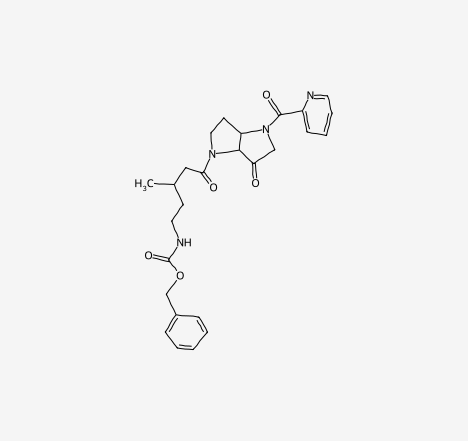 CC(CCNC(=O)OCc1ccccc1)CC(=O)N1CCC2C1C(=O)CN2C(=O)c1ccccn1